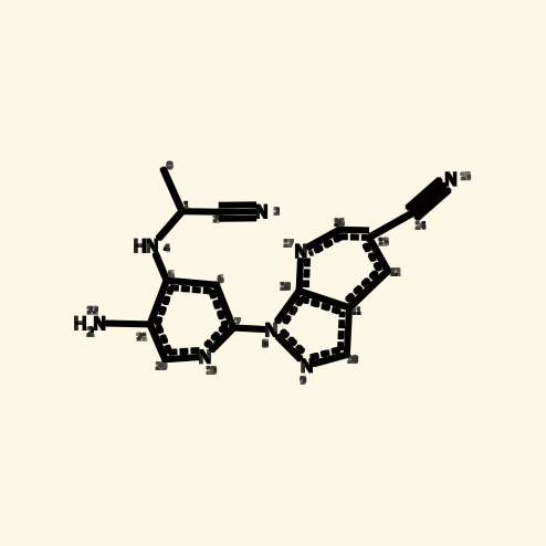 CC(C#N)Nc1cc(-n2ncc3cc(C#N)cnc32)ncc1N